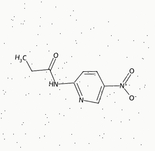 CCC(=O)Nc1ccc([N+](=O)[O-])cn1